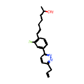 C=CCc1ccc(-c2ccc(C=CCCCC(C)O)c(F)c2)nn1